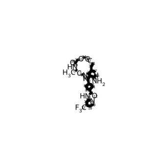 C[C@@H]1CCn2nc(-c3ccc(C(=O)Nc4cc(C(F)(F)F)ccn4)cc3)c3c(N)ncc(c32)/C=C/CCCOCC(=O)N1